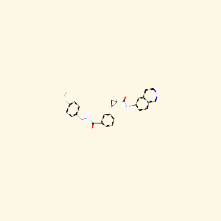 COc1ccc(CNC(=O)c2cccc([C@@H]3C[C@H]3C(=O)Nc3ccc4cnccc4c3)c2)cc1